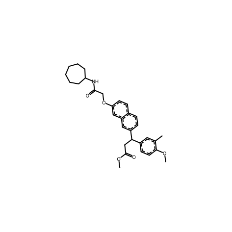 COC(=O)CC(c1ccc(OC)c(C)c1)c1ccc2ccc(OCC(=O)NC3CCCCCC3)cc2c1